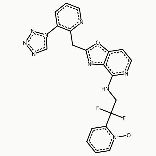 [O-][n+]1ccccc1C(F)(F)CNc1nccc2oc(Cc3ncccc3-n3cnnn3)nc12